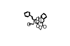 COC(=O)C(Cc1ccccc1)NC(=O)N(C[C]=O)C(=O)C=Cc1ccccc1